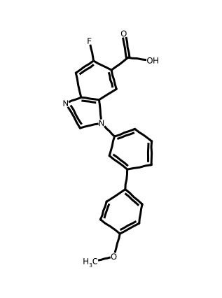 COc1ccc(-c2cccc(-n3cnc4cc(F)c(C(=O)O)cc43)c2)cc1